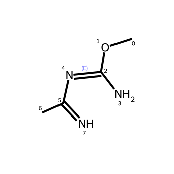 CO/C(N)=N/C(C)=N